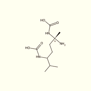 CC(C)C(CC[C@@](C)(N)NC(=O)O)NC(=O)O